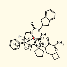 CC1(C)[C@@H]2[C@@H](C(=O)NC(CC3CCC3)C(=O)C(N)=O)N(C(=O)[C@@H](NC(=O)NC3(C(=O)OCc4ccccc4)CCCC3)C3Cc4ccccc4C3)C[C@@H]21